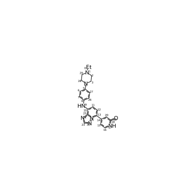 CCN1CCN(c2ccc(Nc3ccc(-c4cc[nH]c(=O)c4)n4ncnc34)cc2)CC1